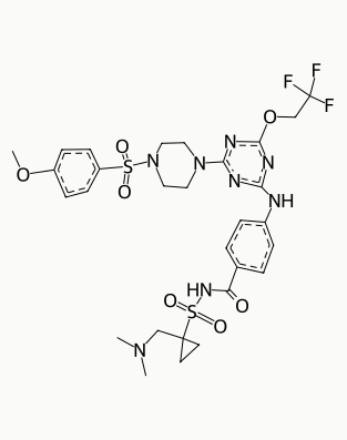 COc1ccc(S(=O)(=O)N2CCN(c3nc(Nc4ccc(C(=O)NS(=O)(=O)C5(CN(C)C)CC5)cc4)nc(OCC(F)(F)F)n3)CC2)cc1